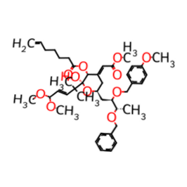 C=CCCCCC(=O)O[C@H]1/C(=C/C(=O)OC)C[C@@H](C[C@@H](OCc2ccc(OC)cc2)[C@H](C)OCc2ccccc2)O[C@@]1(O)C(C)(C)/C=C/C(OC)OC